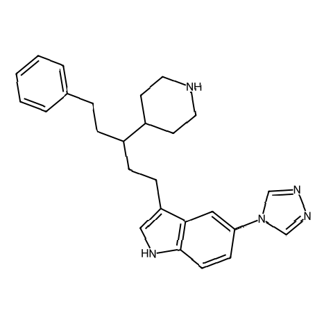 c1ccc(CCC(CCc2c[nH]c3ccc(-n4cnnc4)cc23)C2CCNCC2)cc1